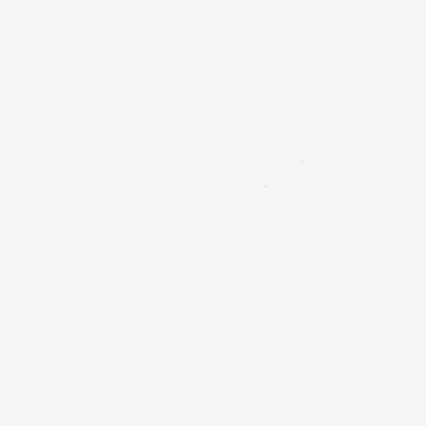 CCS(=O)(=O)OCCCC(COS(=O)(=O)CC)OS(=O)(=O)CC